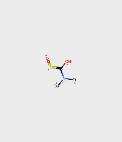 CCC(C)N(CC)C(O)=S=O